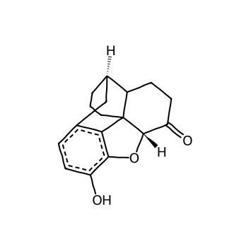 O=C1CCC2[C@@H]3CCCC24c2c(ccc(O)c2O[C@@H]14)C3